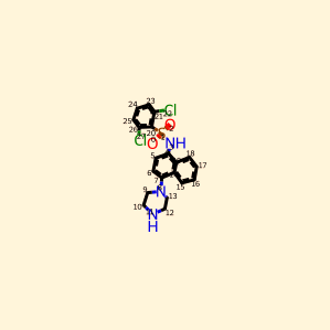 O=S(=O)(Nc1ccc(N2CCNCC2)c2ccccc12)c1c(Cl)cccc1Cl